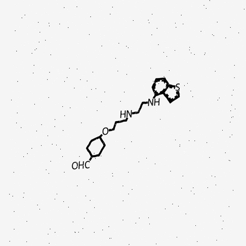 O=CC1CCC(OCCCNCCNc2cccc3sccc23)CC1